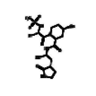 CC(C)C(NS(=O)(=O)C(F)(F)F)C(=O)N1CC[C@@H](C(C)(C)C)C[C@H]1C(=O)NC(C#N)C[C@@H]1CCNC1=O